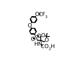 CC1(C)OCC(CS(=O)(=O)c2ccc(Oc3ccc(OC(F)(F)F)cc3)cc2)(NC(=O)O)CO1